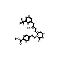 O=C(O)c1ccc(CCN2C(=O)CCC[C@@H]2/C=C/C(O)Cc2cccc(C(F)(F)F)c2)cc1